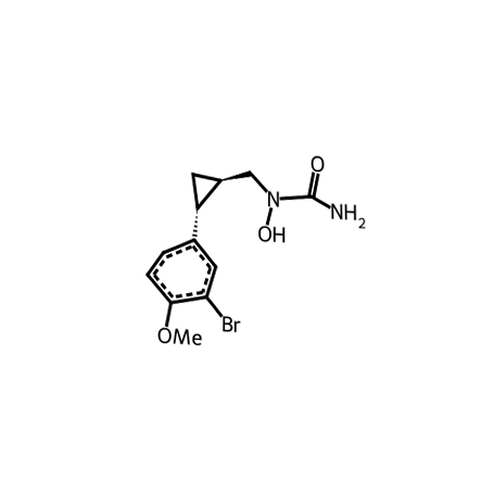 COc1ccc([C@@H]2C[C@H]2CN(O)C(N)=O)cc1Br